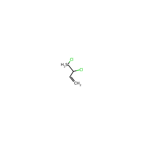 C=CC(Cl)[SiH2]Cl